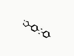 CN1CCC(c2ccc(S(=O)(=O)c3ccc(O)cc3)cc2)C1